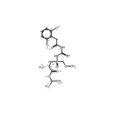 COCP(=O)(NC(=N)NC(=O)Cc1c(Cl)cccc1Cl)N[C@@H](C)C(=O)OC(C)C